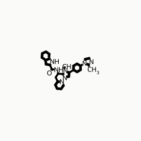 Cc1nccn1-c1ccc(-c2cnc(C(Cc3ccccn3)NC(=O)c3cc4ccccc4[nH]3)n2C)cc1